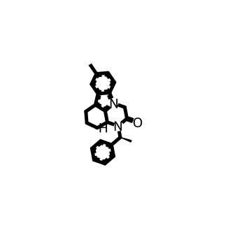 Cc1ccc2c(c1)c1c3n2CC(=O)N([C@@H](C)c2ccccc2)[C@H]3CCC1